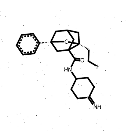 N=C1CCC(NC(=O)C23CC4C[C@](c5ccccc5)(C2)C[C@@]3(CCF)C4)CC1